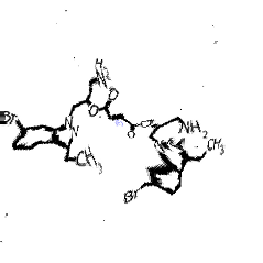 CCc1nn(CC(CN)OC(=O)/C=C/C(=O)OC(CN)Cn2nc(CC)c3ccc(Br)cc32)c2cc(Br)ccc12